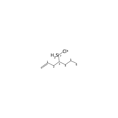 C=CCC(CCC)[SiH2]Cl